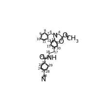 COC(=O)CN(Cc1ccccc1)c1ccc(CCNC(=O)c2ccc(C#N)cc2)cc1